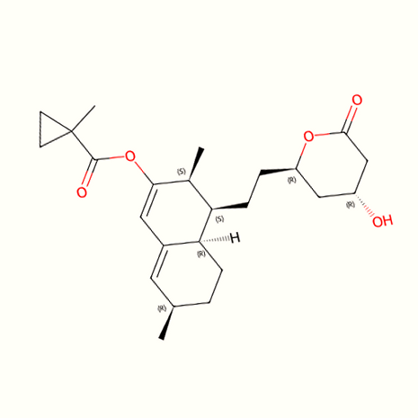 C[C@@H]1C(OC(=O)C2(C)CC2)=CC2=C[C@H](C)CC[C@@H]2[C@@H]1CC[C@@H]1C[C@@H](O)CC(=O)O1